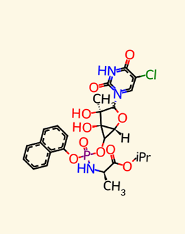 CC(C)OC(=O)[C@@H](C)NP(=O)(Oc1cccc2ccccc12)OC1[C@H]2O[C@@H](n3cc(Cl)c(=O)[nH]c3=O)[C@](C)(O)[C@@]12O